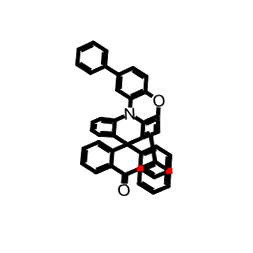 O=C1c2ccccc2C2(c3ccccc31)c1ccccc1N1c3cc(-c4ccccc4)ccc3Oc3ccc(-c4ccccc4)c2c31